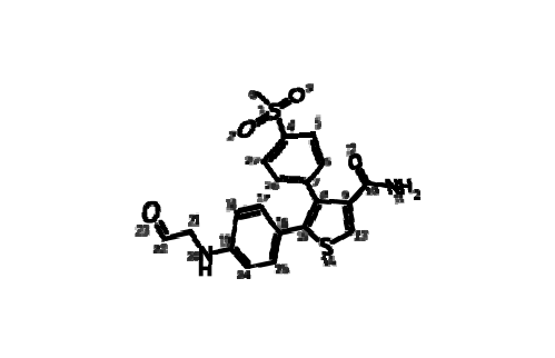 CS(=O)(=O)c1ccc(-c2c(C(N)=O)csc2-c2ccc(NCC=O)cc2)cc1